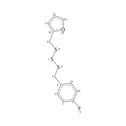 Fc1ccc(CSSSCc2ccco2)cc1